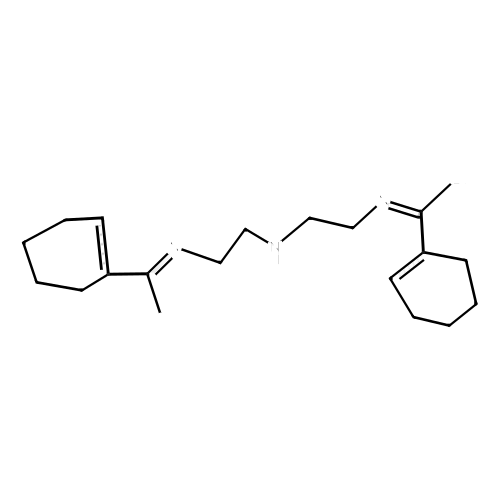 CCC(=NCCNCCN=C(CC)C1=CCCCC1)C1=CCCCC1